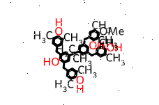 COc1c(C)cc(Cc2cc(C(C)(C)c3cc(Cc4cc(C)c(O)c(C)c4)c(O)c(Cc4cc(C)c(O)c(C)c4)c3)cc(Cc3cc(C)c(O)c(C)c3)c2O)cc1C